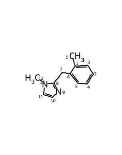 Cc1ccccc1Cc1nccn1C